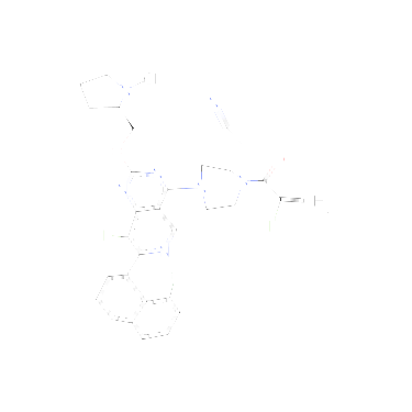 C=C(F)C(=O)N1CCN(c2nc(OC[C@H]3CCCN3C)nc3c(F)c(-c4cccc5cccc(Cl)c45)ncc23)C[C@@H]1CC#N